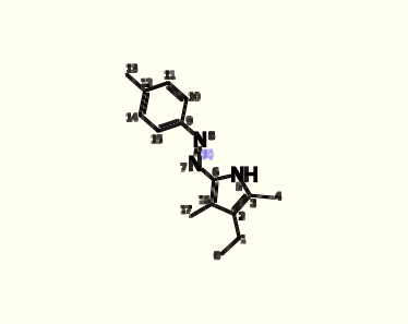 CCc1c(C)[nH]c(/N=N/c2ccc(C)cc2)c1C